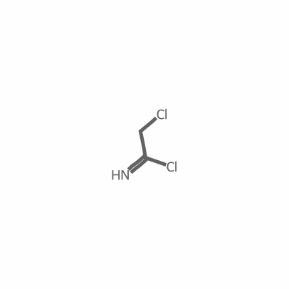 N=C(Cl)CCl